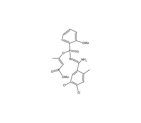 COC(=O)C=C(C)OP(=O)(N=C(N)c1cc(Cl)c(Cl)cc1C)c1ccccc1OC